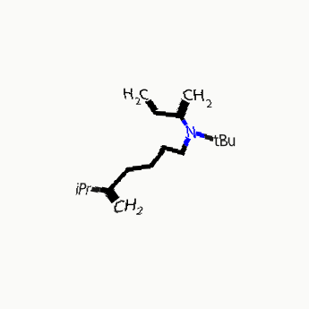 C=CC(=C)N(CCCCC(=C)C(C)C)C(C)(C)C